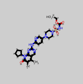 CC(=O)c1c(C)c2cnc(Nc3ccc(N4CCN(S(=O)(=O)NC(=O)OCC(=O)O)CC4)cn3)nc2n(C2CCCC2)c1=O